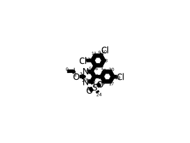 CCOc1nc(-c2ccc(Cl)cc2Cl)c(-c2ccc(Cl)cc2)c(S(C)(=O)=O)n1